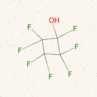 OC1(F)C(F)(F)C(F)(F)C1(F)F